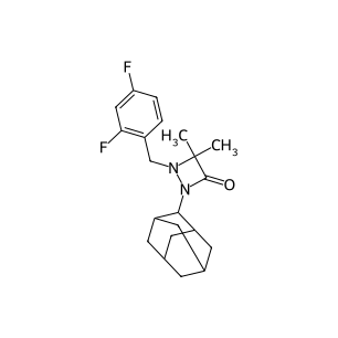 CC1(C)C(=O)N(C2C3CC4CC(C3)CC2C4)N1Cc1ccc(F)cc1F